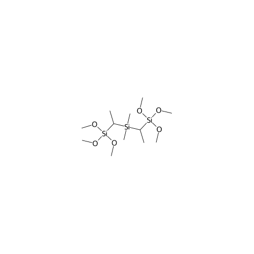 CO[Si](OC)(OC)C(C)[Si](C)(C)C(C)[Si](OC)(OC)OC